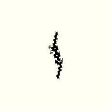 CCCCCCCc1cnc(-c2ccc(-c3ccc(CCCCCCC)c(F)c3F)cc2)nc1